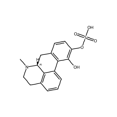 CN1CCc2cccc3c2[C@H]1Cc1ccc(OS(=O)(=O)O)c(O)c1-3